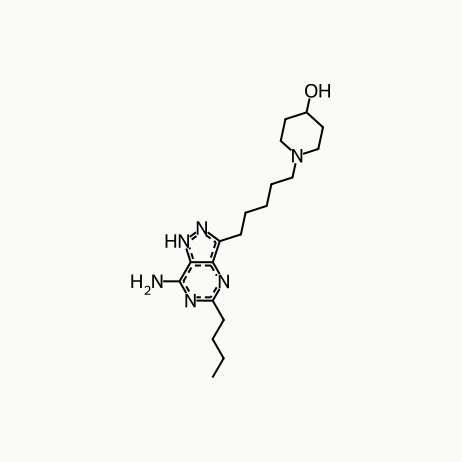 CCCCc1nc(N)c2[nH]nc(CCCCCN3CCC(O)CC3)c2n1